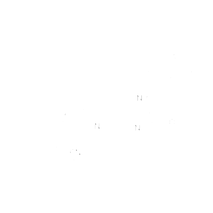 Cn1c(=O)n(CC2(C)CC2)c2ccc(-c3ccccc3C#N)nc21